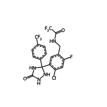 O=C1NNC(c2ccc(C(F)(F)F)cc2)(c2cc(CNC(=O)C(F)(F)F)c(F)cc2Cl)N1